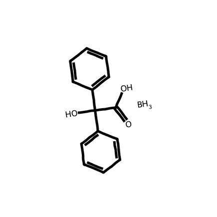 B.O=C(O)C(O)(c1ccccc1)c1ccccc1